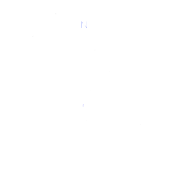 CC(C)/C=C1\Cc2ncccc21